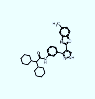 Cc1ccc2oc(-c3c[nH]nc3-c3cccc(NC(=O)C(C4CCCCC4)C4CCCCC4)c3)nc2c1